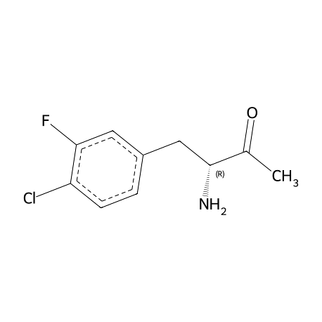 CC(=O)[C@H](N)Cc1ccc(Cl)c(F)c1